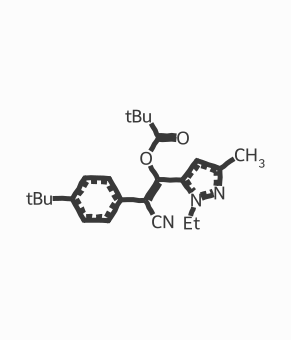 CCn1nc(C)cc1C(OC(=O)C(C)(C)C)=C(C#N)c1ccc(C(C)(C)C)cc1